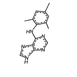 Cc1cc(C)c(Nc2ncnc3[nH]cnc23)c(C)c1